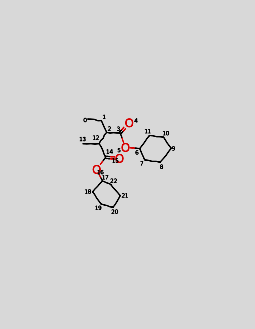 CCC(C(=O)OC1CCCCC1)C(C)C(=O)OC1CCCCC1